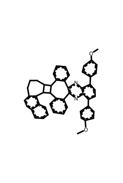 COc1ccc(-c2ccc(-c3ccc(OC)cc3)c3nc4c(nc23)-c2ccccc2C2C3CCCc5ccc6ccccc6c5C3C2c2ccccc2-4)cc1